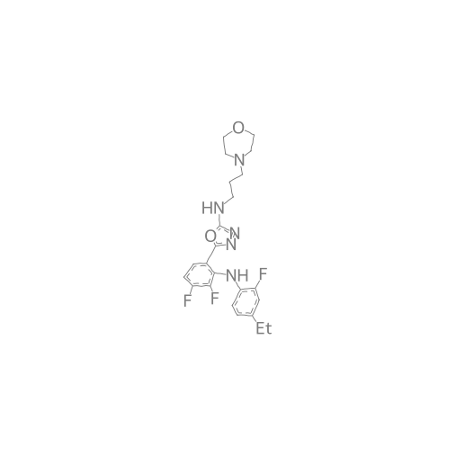 CCc1ccc(Nc2c(-c3nnc(NCCCN4CCOCC4)o3)ccc(F)c2F)c(F)c1